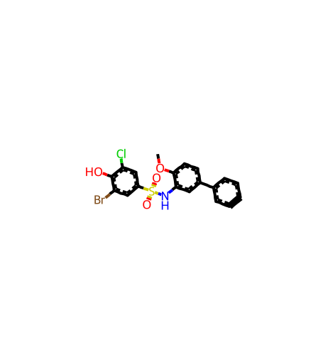 COc1ccc(-c2cc#ccc2)cc1NS(=O)(=O)c1cc(Cl)c(O)c(Br)c1